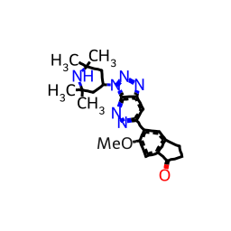 COc1cc2c(cc1-c1cc3nnn(C4CC(C)(C)NC(C)(C)C4)c3nn1)CCC2=O